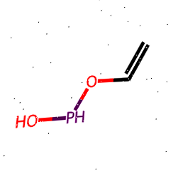 C=COPO